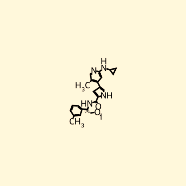 Cc1cccc([C@@H](COI)NC(=O)c2cc(-c3cc(NC4CC4)ncc3C)c[nH]2)c1